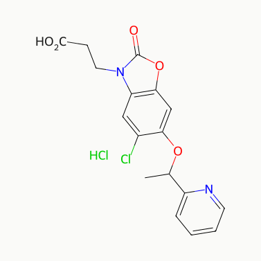 CC(Oc1cc2oc(=O)n(CCC(=O)O)c2cc1Cl)c1ccccn1.Cl